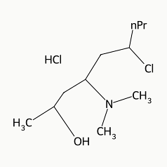 CCCC(Cl)CC(CC(C)O)N(C)C.Cl